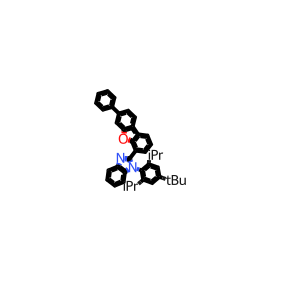 CC(C)c1cc(C(C)(C)C)cc(C(C)C)c1-n1c(-c2cccc3c2oc2cc(-c4ccccc4)ccc23)nc2ccccc21